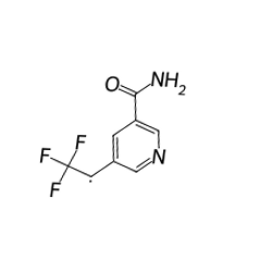 NC(=O)c1cncc([CH]C(F)(F)F)c1